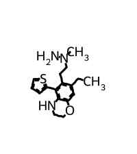 CCc1cc2c(c(-c3cccs3)c1CCN(C)N)NCCO2